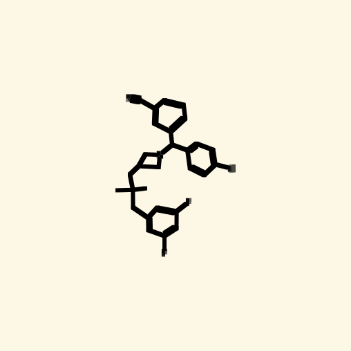 CC(C)(Cc1cc(F)cc(F)c1)CC1CN(C(c2ccc(Cl)cc2)c2cccc(C#N)c2)C1